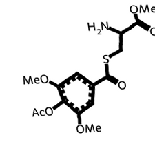 COC(=O)C(N)CSC(=O)c1cc(OC)c(OC(C)=O)c(OC)c1